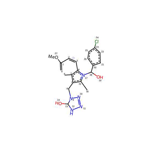 C=C(/C=C\c1c(C)c(CN2N=NNC2O)c(C)n1C(O)c1ccc(Cl)cc1)OC